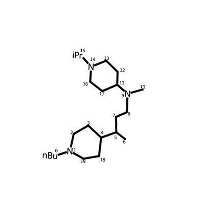 CCCCN1CCC(C(C)CCN(C)C2CCN(C(C)C)CC2)CC1